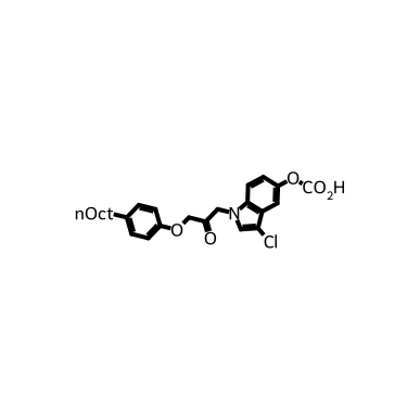 CCCCCCCCc1ccc(OCC(=O)Cn2cc(Cl)c3cc(OC(=O)O)ccc32)cc1